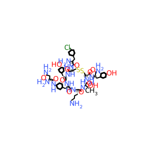 CC(O)C1NC(=O)[C@H](CCCCN)NC(=O)[C@@H](Cc2ccc(NC(=O)[C@@H](N)CC(N)=O)cc2)NC(=O)[C@H](Cc2ccc(O)cc2)NC(=O)[C@H](NC(=O)[C@@H](N)Cc2ccc(Cl)cc2)CSSC[C@@H](C(=O)N[C@H](Cc2ccc(O)cc2)C(N)=O)NC1=O